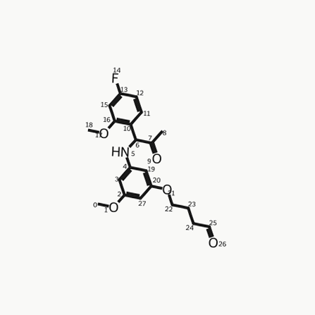 COc1cc(NC(C(C)=O)c2ccc(F)cc2OC)cc(OCCCC=O)c1